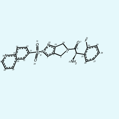 N[C@@H](C(=O)N1Cc2cn(S(=O)(=O)c3ccc4ncccc4c3)nc2C1)c1ccccc1F